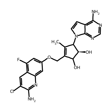 CC1=C(COc2cc(F)c3cc(Cl)c(N)nc3c2)C(O)[C@H](O)C1n1ccc2c(N)ncnc21